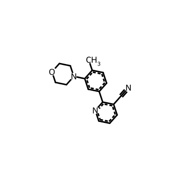 Cc1ccc(-c2ncccc2C#N)cc1N1CCOCC1